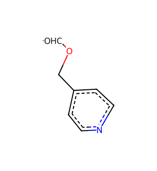 O=[C]OCc1ccncc1